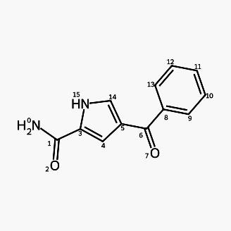 NC(=O)c1cc(C(=O)c2ccccc2)c[nH]1